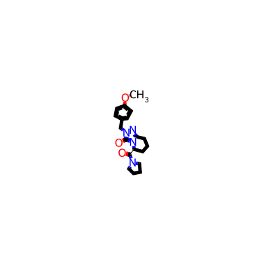 COc1ccc(Cn2nc3n(c2=O)[C@@H](C(=O)N2CCCC2)CCC3)cc1